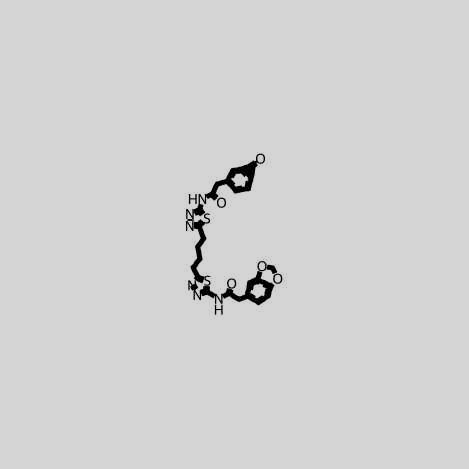 O=C(Cc1ccc2c(c1)OCO2)Nc1nnc(CCCCc2nnc(NC(=O)Cc3ccc4c(=O)c4c3)s2)s1